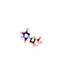 O=C(O)[C@H]1O[C@@H](n2cc(Cl)c(=O)[nH]c2=O)C[C@@H]1O